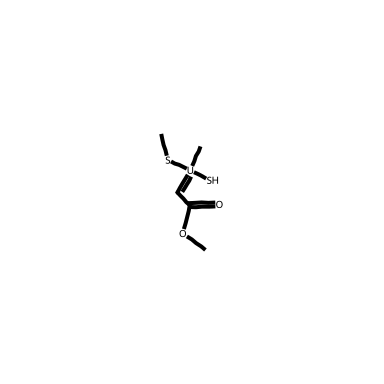 COC(=O)[CH]=[U]([CH3])([SH])[S]C